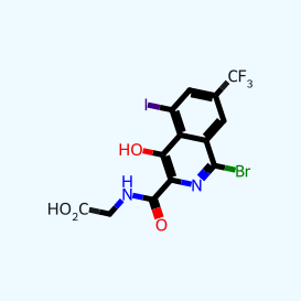 O=C(O)CNC(=O)c1nc(Br)c2cc(C(F)(F)F)cc(I)c2c1O